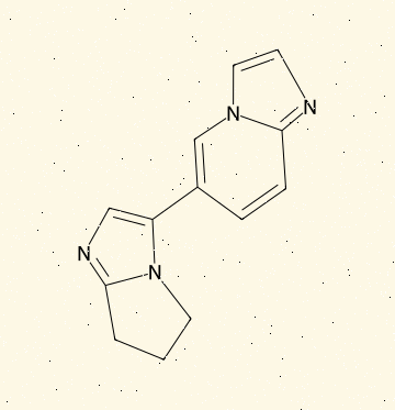 c1cn2cc(-c3cnc4n3CCC4)ccc2n1